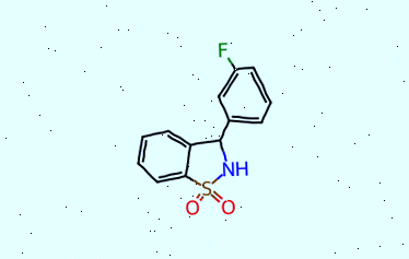 O=S1(=O)NC(c2cccc(F)c2)c2ccccc21